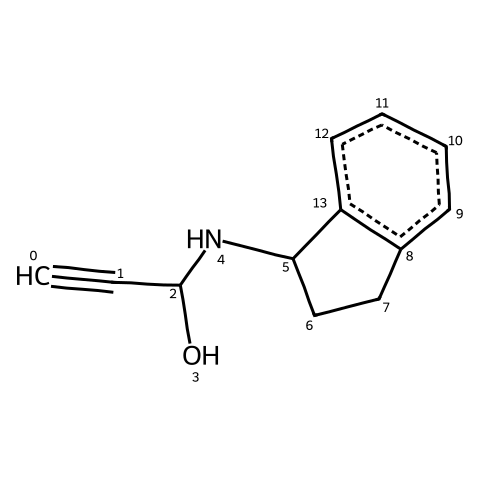 C#CC(O)NC1CCc2ccccc21